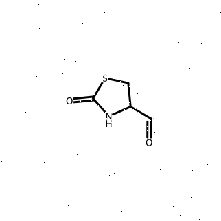 O=[C]C1CSC(=O)N1